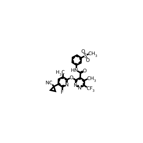 Cc1cc(C2(C#N)CC2)c(F)nc1Oc1nnc(C(F)(F)F)c(C)c1C(=O)Nc1cccc(S(C)(=O)=O)c1